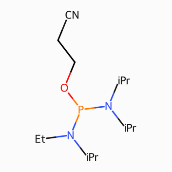 CCN(C(C)C)P(OCCC#N)N(C(C)C)C(C)C